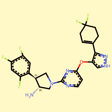 N[C@H]1CN(c2nccc(Oc3c[nH]nc3C3=CCC(F)(F)CC3)n2)C[C@@H]1c1cc(F)c(F)cc1F